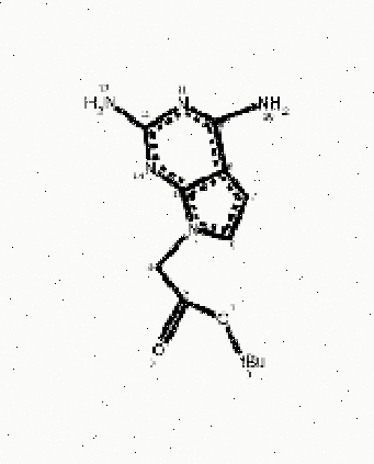 CC(C)(C)OC(=O)Cn1ccc2c(N)nc(N)nc21